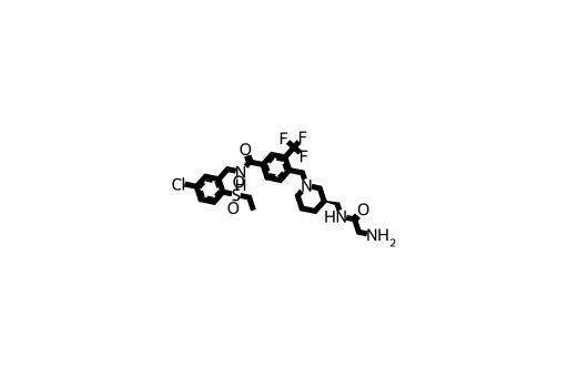 CCS(=O)(=O)c1ccc(Cl)cc1CNC(=O)c1ccc(CN2CCC[C@H](CNC(=O)CN)C2)c(C(F)(F)F)c1